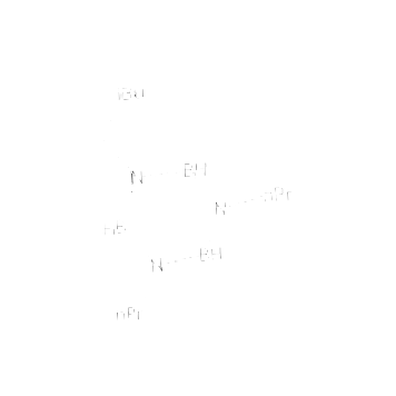 CCCN1BN(CCC)BN(CC(C)CC)B1